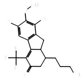 CCCCC1CC(=O)C(C(F)(F)F)=C2c3cc(F)c(OC)c(Cl)c3CC21